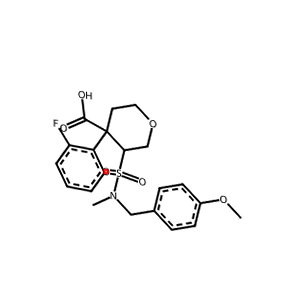 COc1ccc(CN(C)S(=O)(=O)C2COCCC2(C(=O)O)c2ccccc2F)cc1